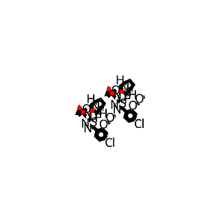 COCOc1cc(Cl)ccc1-c1nnc(N(C2CC2)[C@@H]2C[C@H]3CC[C@@H]([C@@H]2F)N3C(=O)OC(C)(C)C)s1.COCOc1cc(Cl)ccc1-c1nnc(N(C2CC2)[C@H]2C[C@@H]3CC[C@H]([C@H]2F)N3C(=O)OC(C)(C)C)s1